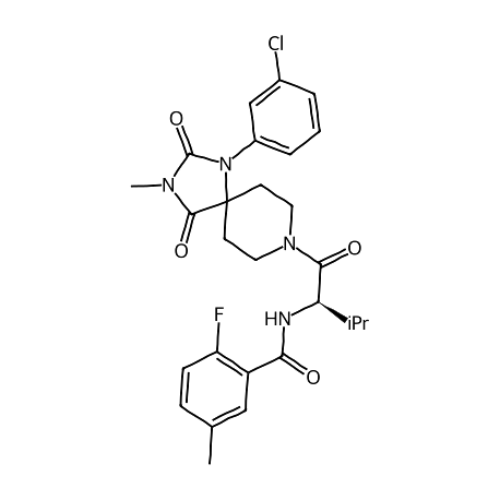 Cc1ccc(F)c(C(=O)N[C@@H](C(=O)N2CCC3(CC2)C(=O)N(C)C(=O)N3c2cccc(Cl)c2)C(C)C)c1